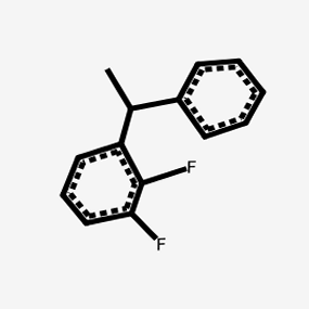 CC(c1ccccc1)c1cccc(F)c1F